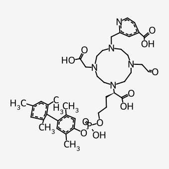 Cc1cc(C)c(-c2cc(C)c(OP(=O)(O)OCCC[C@H](C(=O)O)N3CCN(CC=O)CCN(Cc4cc(C(=O)O)ccn4)CCN(CC(=O)O)CC3)cc2C)c(C)c1